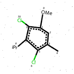 COc1cc(C)c(Cl)c(C(C)C)c1Cl